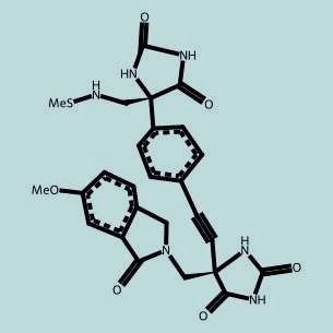 COc1ccc2c(c1)C(=O)N(C[C@@]1(C#Cc3ccc([C@]4(CNSC)NC(=O)NC4=O)cc3)NC(=O)NC1=O)C2